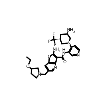 CCOC1CCN(Cc2cnc3c(C(=O)Nc4cnccc4N4C[C@H](N)C[C@H](C(F)(F)F)C4)c(N)oc3c2)C1